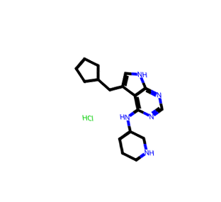 Cl.c1nc(NC2CCCNC2)c2c(CC3CCCC3)c[nH]c2n1